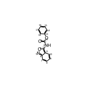 O=C(Nc1onc2ccccc12)Oc1ccccc1